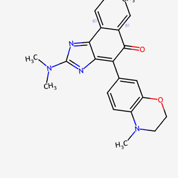 C/C=C1/C(=O)C(c2ccc3c(c2)OCCN3C)=C2N=C(N(C)C)N=C2/C1=C/C